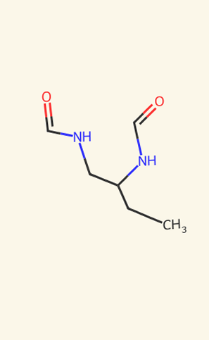 CCC(CNC=O)NC=O